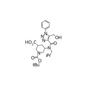 CC(C)CN(C(=O)c1nnn(-c2ccccc2)c1CO)C1CC(C(=O)O)CN(C(=O)OC(C)(C)C)C1